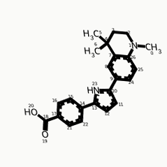 CN1CCC(C)(C)c2cc(-c3ccc(-c4ccc(C(=O)O)cc4)[nH]3)ccc21